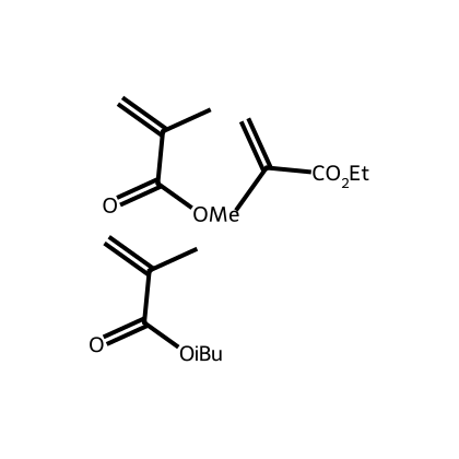 C=C(C)C(=O)OC.C=C(C)C(=O)OCC.C=C(C)C(=O)OCC(C)C